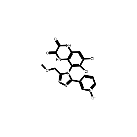 COCc1nnc(-c2ccc[n+]([O-])c2)n1-c1c(Cl)c(Cl)cc2[nH]c(=O)c(=O)[nH]c12